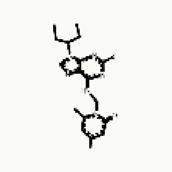 CCC(CC)n1cnc2c(NCn3c(C)cc(C)cc3=O)nc(Cl)nc21